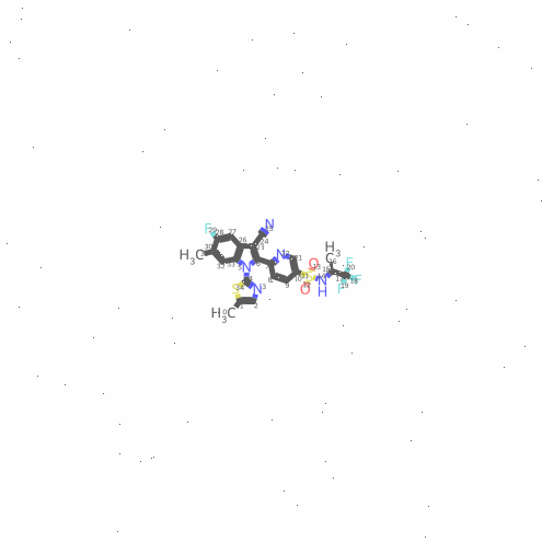 Cc1cnc(-n2c(-c3ccc(S(=O)(=O)N[C@@H](C)C(F)(F)F)cn3)c(C#N)c3cc(F)c(C)cc32)s1